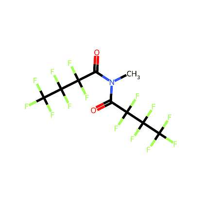 CN(C(=O)C(F)(F)C(F)(F)C(F)(F)F)C(=O)C(F)(F)C(F)(F)C(F)(F)F